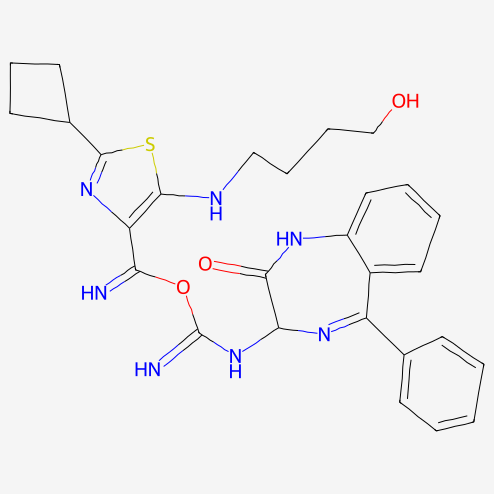 N=C(NC1N=C(c2ccccc2)c2ccccc2NC1=O)OC(=N)c1nc(C2CCC2)sc1NCCCCO